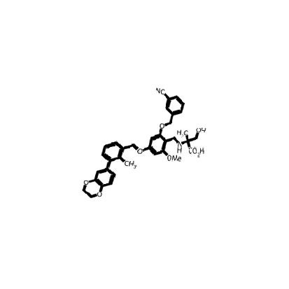 COc1cc(OCc2cccc(-c3ccc4c(c3)OCCO4)c2C)cc(OCc2cccc(C#N)c2)c1CNC(C)(CO)C(=O)O